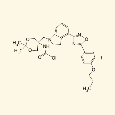 CCCOc1ccc(-c2nc(-c3cccc4c3CCN4CC3(NC(=O)O)COC(C)(C)OC3)no2)cc1I